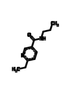 CCCNC(=O)c1ccc(CC)nc1